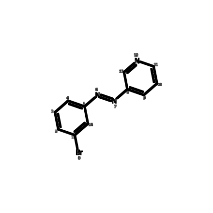 Brc1cccc(/N=N/c2cccnc2)c1